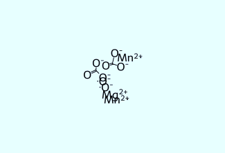 O=C([O-])[O-].O=C([O-])[O-].[Mg+2].[Mn+2].[Mn+2].[O-].[O-]